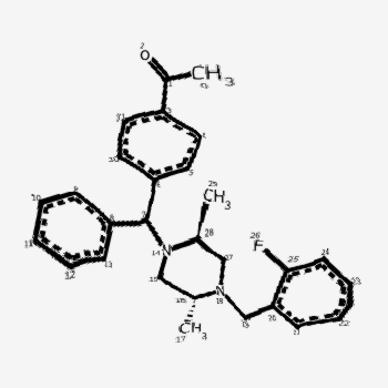 CC(=O)c1ccc(C(c2ccccc2)N2C[C@@H](C)N(Cc3ccccc3F)C[C@@H]2C)cc1